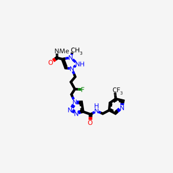 CNC(=O)C1=CN(CCC(F)Cn2cc(C(=O)NCc3cncc(C(F)(F)F)c3)nn2)NN1C